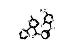 Cc1ccc(C(=O)N2CC3CCC2C(Nc2ncc(C(F)(F)F)cc2F)C3)c(-c2ncccn2)n1